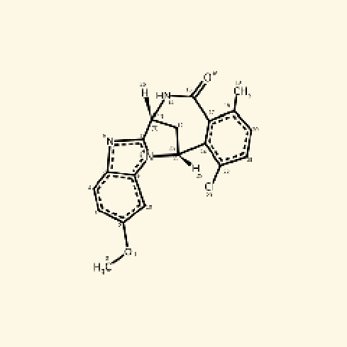 COc1ccc2nc3n(c2c1)[C@@H]1C[C@H]3NC(=O)c2c(C)ccc(Cl)c21